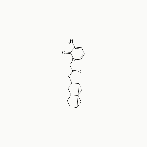 Nc1cccn(CC(=O)NC2CC3CCC4CC3CC42)c1=O